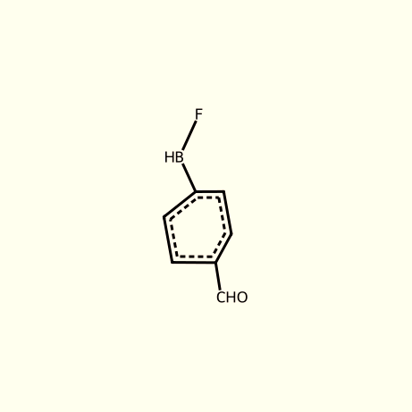 O=Cc1ccc(BF)cc1